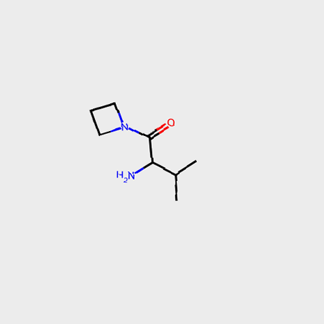 CC(C)C(N)C(=O)N1CCC1